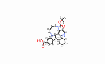 CC(C)(C)OC(=O)N1C/C=C\Cn2c(c(C3CCCCC3)c3ccc(C(=O)O)cc32)-c2cnccc21